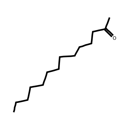 CCCCCCCCCCCCC(C)=O